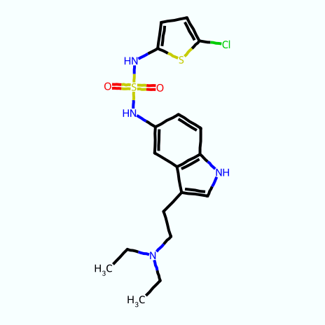 CCN(CC)CCc1c[nH]c2ccc(NS(=O)(=O)Nc3ccc(Cl)s3)cc12